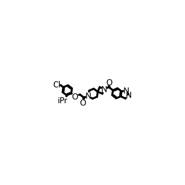 CC(C)c1cc(Cl)ccc1OCC(=O)N1CCC2(CC1)CN(C(=O)c1ccc3c(c1)N=NC3)C2